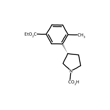 CCOC(=O)c1ccc(C)c([C@@H]2CCN(C(=O)O)C2)c1